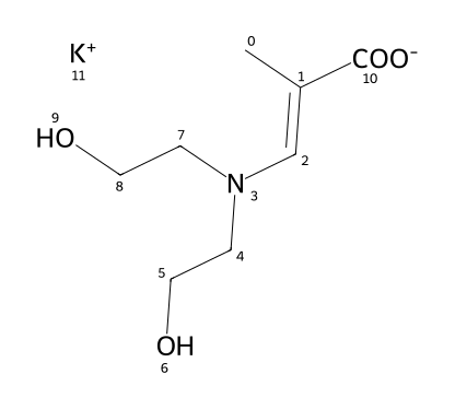 CC(=CN(CCO)CCO)C(=O)[O-].[K+]